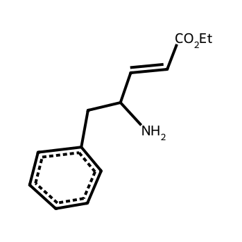 CCOC(=O)C=CC(N)Cc1ccccc1